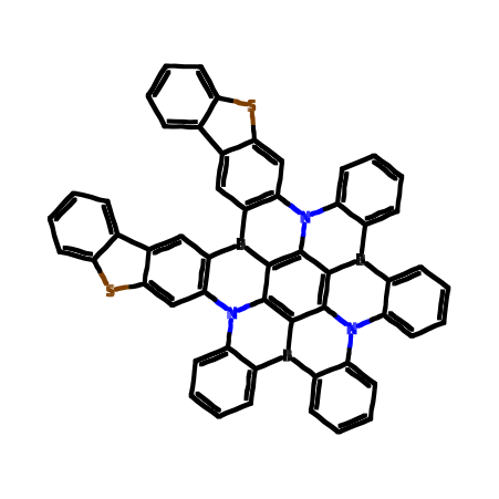 c1ccc2c(c1)B1c3ccccc3N3c4cc5sc6ccccc6c5cc4B4c5cc6c(cc5N5c7ccccc7B7c8ccccc8N2c2c1c3c4c5c27)sc1ccccc16